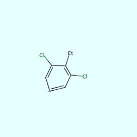 CCc1c(Cl)c[c]cc1Cl